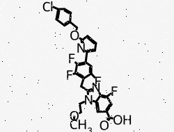 COCCn1c(Cc2c(F)cc(-c3cccc(OCc4ccc(Cl)cc4)n3)c(F)c2F)nc2c(F)cc(C(=O)O)cc21